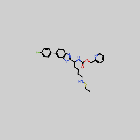 CCSNCCCC[C@H](NC(=O)OCc1ccccn1)c1nc2ccc(-c3ccc(F)cc3)cc2[nH]1